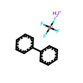 F[B-](F)(F)F.[IH2+].c1ccc(-c2ccccc2)cc1